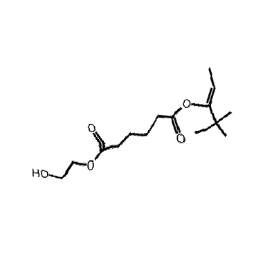 CC=C(OC(=O)CCCCC(=O)OCCO)C(C)(C)C